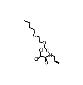 C=CCN(CCOCCOCCCC)C(=O)C(Cl)Cl